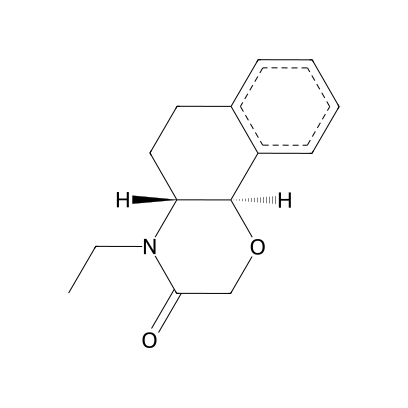 CCN1C(=O)CO[C@@H]2c3ccccc3CC[C@H]21